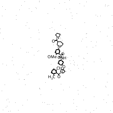 COc1ccc(N2CCCC(C(=O)N3CCCC3)C2)cc1S(=O)(=O)Nc1cccc(O[C@H]2CCN(C(=O)c3c(C)cccc3C)C2)c1